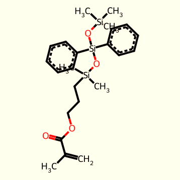 C=C(C)C(=O)OCCC[Si](C)(C)O[Si](O[Si](C)(C)C)(c1ccccc1)c1ccccc1